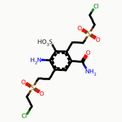 NC(=O)c1cc(CCS(=O)(=O)CCCl)c(N)c(S(=O)(=O)O)c1CCS(=O)(=O)CCCl